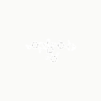 COc1ccc(CN2Cc3nc(-c4c(F)cccc4F)cc(Nc4ccc(N5CCOCC5C)cn4)c3C2=O)c(OC)c1